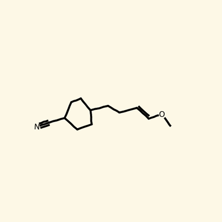 COC=CCCC1CCC(C#N)CC1